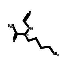 NCCCC[C@H](NC=O)C(N)=O